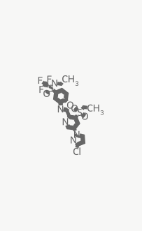 CCN=S(=O)(c1ccc2oc(-c3ncc(-n4ccc(Cl)n4)cc3S(=O)(=O)CC)nc2c1)C(F)(F)F